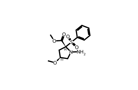 COC(=O)[C@]1(S(=O)(=O)c2ccccc2)C[C@H](OC)CN1N